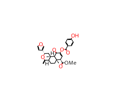 C=C1O[C@H](c2ccoc2)C[C@]2(C)[C@H]3C(=O)C(OC(=O)c4ccc(O)cc4)=C[C@@H](C(=O)OC)[C@]3(C)CC[C@@H]12